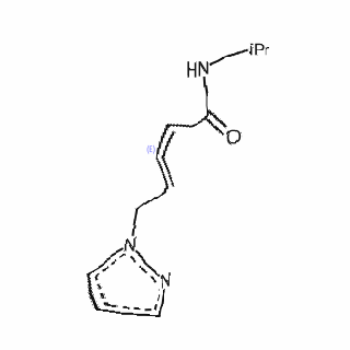 CC(C)NC(=O)/C=C/Cn1cccn1